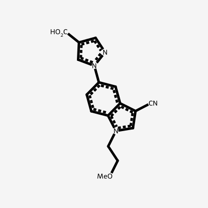 COCCn1cc(C#N)c2cc(-n3cc(C(=O)O)cn3)ccc21